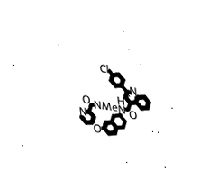 CNC(=O)c1cc(Oc2ccc3c(c2)CC(NC(=O)c2cc(-c4ccc(Cl)cc4)nc4ccccc24)CC3)ccn1